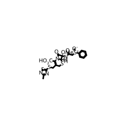 CO[C@@]1(NC(=O)C[S+]([O-])c2ccccc2)C(=O)N2C(C(=O)O)=C(CSc3nc(C)ns3)CS[C@H]21